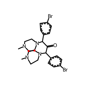 CN1CCN(C(C(=O)C(c2ccc(Br)cc2)N2CCN(C)CC2)c2ccc(Br)cc2)CC1